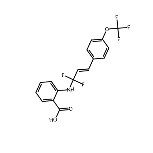 O=C(O)c1ccccc1NC(F)(F)/C=C/c1ccc(OC(F)(F)F)cc1